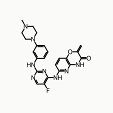 C=C1Oc2ccc(Nc3nc(Nc4cccc(N5CCN(C)CC5)c4)ncc3F)nc2NC1=O